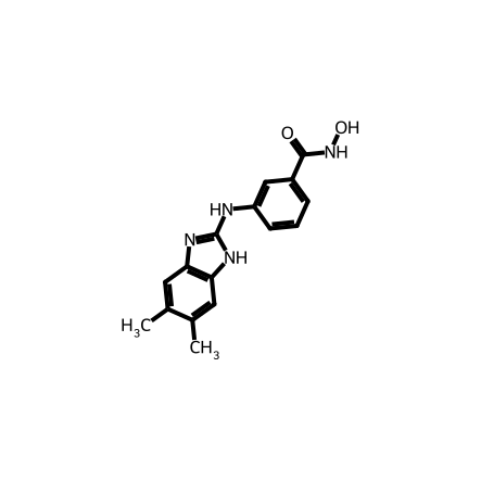 Cc1cc2nc(Nc3cccc(C(=O)NO)c3)[nH]c2cc1C